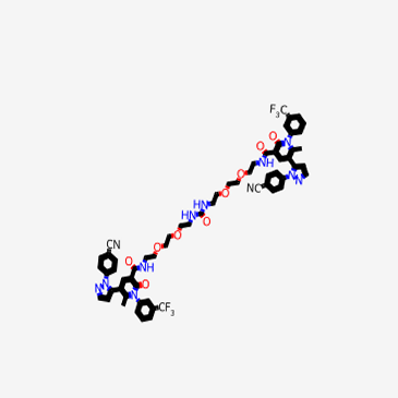 Cc1c(-c2ccnn2-c2ccc(C#N)cc2)cc(C(=O)NCCOCCOCCNC(=O)NCCOCCOCCNC(=O)c2cc(-c3ccnn3-c3ccc(C#N)cc3)c(C)n(-c3cccc(C(F)(F)F)c3)c2=O)c(=O)n1-c1cccc(C(F)(F)F)c1